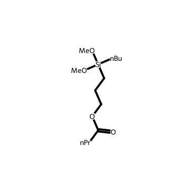 CCCC[Si](CCCOC(=O)CCC)(OC)OC